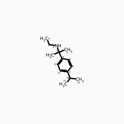 CCNC(C)(C)c1ccc(C(C)C)cc1